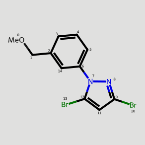 COCc1cccc(-n2nc(Br)cc2Br)c1